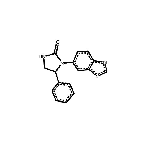 O=C1NCC(c2ccccc2)N1c1ccc2[nH]cnc2c1